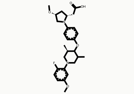 COc1ccc(F)c(N2CC(C)C(Oc3ccc(N4C[C@H](OC)C[C@@H]4CC(=O)O)cc3)[C@H](C)C2)c1